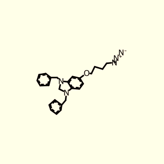 [N-]=[N+]=NCCCCOc1ccc2c(c1)N(Cc1ccccc1)CN2Cc1ccccc1